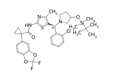 Cc1nc(NC(=O)C2(c3ccc4c(c3)OC(F)(F)O4)CC2)sc1[C@H](c1ccccc1Cl)N1CCC(O[Si](C)(C)C(C)(C)C)C1